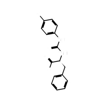 O=C(Nc1ccc(Br)cc1)N[C@@H](Cc1ccccc1)C(=O)O